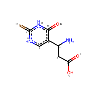 NC(CC(=O)O)c1c[nH]c(=S)[nH]c1=O